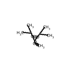 CCCCCCCCCC(CCCCCCCCC)CCCOC(=O)CCCC(CCCC(=O)OCCCC(CCCCCCCCC)CCCCCCCCC)COC(=O)C1CCN(C)CC1